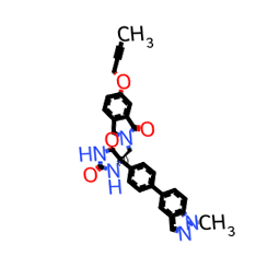 CC#CCOc1ccc2c(c1)C(=O)N(C[C@@]1(c3ccc(-c4ccc5c(cnn5C)c4)cc3)NC(=O)NC1=O)C2